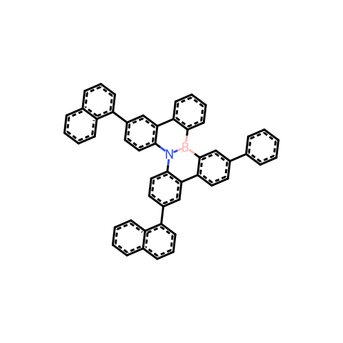 c1ccc(-c2ccc3c(c2)B2c4ccccc4-c4cc(-c5cccc6ccccc56)ccc4N2c2ccc(-c4cccc5ccccc45)cc2-3)cc1